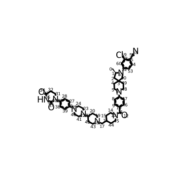 C[C@@H]1CC2(CCN(c3ccc(C(=O)N4CCC(CN5CCC(N6CCN(c7ccc(N8CCC(=O)NC8=O)cc7)CC6)CC5)CC4)cc3)CC2)CN1c1ccc(C#N)c(Cl)c1